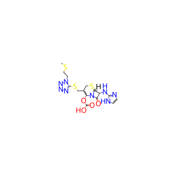 CSCCn1nnnc1SCC1=C(OC(=O)O)N2C(=O)C(Nc3ncc[nH]3)[C@@H]2SC1